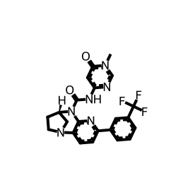 Cn1cnc(NC(=O)N2c3nc(-c4cccc(C(F)(F)F)c4)ccc3N3CC[C@H]2C3)cc1=O